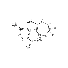 CN(C)c1ccc([N+](=O)[O-])cc1C1=C(C=O)OCC(F)(F)CN1